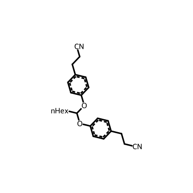 CCCCCCC(Oc1ccc(CCC#N)cc1)Oc1ccc(CCC#N)cc1